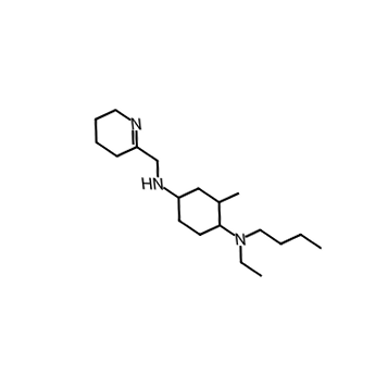 CCCCN(CC)C1CCC(NCC2=NCCCC2)CC1C